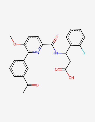 COc1ccc(C(=O)NC(CC(=O)O)c2ccccc2F)nc1-c1cccc(C(C)=O)c1